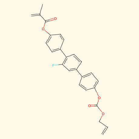 C=CCOC(=O)Oc1ccc(-c2ccc(-c3ccc(OC(=O)C(=C)C)cc3)c(F)c2)cc1